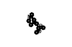 c1ccc(-c2nc3ccccc3n2-c2ccc3c4ccc(-c5cc6c7ccccc7oc6c6c5oc5ccccc56)cc4n(-c4ccccc4)c3c2)cc1